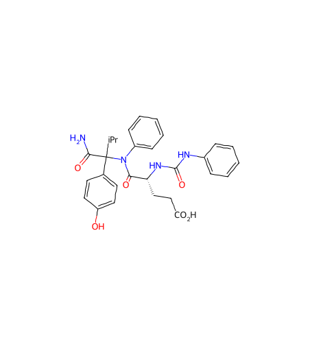 CC(C)C(C(N)=O)(c1ccc(O)cc1)N(C(=O)[C@@H](CCC(=O)O)NC(=O)Nc1ccccc1)c1ccccc1